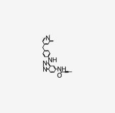 C=C1C=C(Cc2ccc(Nc3ncnc4ccc(NC(=O)C#CC)cc34)cc2)C=CN1C